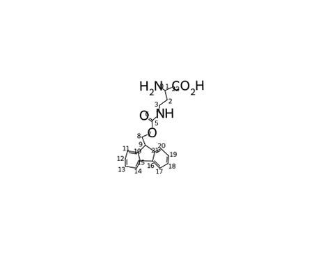 NC(CCNC(=O)OCC1c2ccccc2-c2ccccc21)C(=O)O